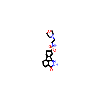 O=c1[nH]nc2c3c(cccc13)-c1ccc(S(=O)(=O)NCCN3CCOCC3)cc1-2